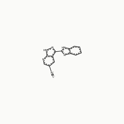 [C-]#[N+]c1cnc2[nH]nc(-c3nc4ccccc4[nH]3)c2c1